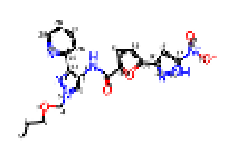 CCCOCn1cc(NC(=O)c2ccc(-c3cc([N+](=O)[O-])[nH]n3)o2)c(-c2ccccn2)n1